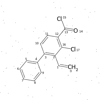 C=Cc1c(-c2ccccc2)ccc(C(=O)Cl)c1Cl